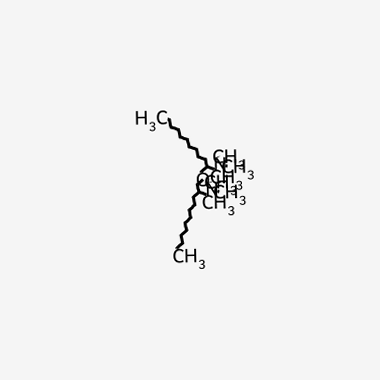 CCCCCCCCCCC(COCC(CCCCCCCCCC)C(C)N(C)C)C(C)N(C)C